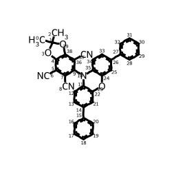 CC1(C)Oc2c(C#N)c(C#N)c(N3c4ccc(-c5ccccc5)cc4Oc4cc(-c5ccccc5)ccc43)c(C#N)c2O1